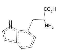 NC(Cc1cccc2cc[nH]c12)C(=O)O